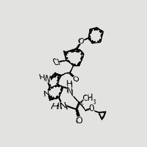 C[C@]1(COC2CC2)Nc2c(cnc3[nH]cc(C(=O)c4ccc(Oc5ccccc5)cc4Cl)c23)NC1=O